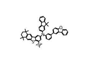 CC1(C)CCC(C)(C)c2cc3c(cc21)sc1c([Si](C)(C)C)cc(N(c2cccc(-c4ccc5oc6ccccc6c5c4)c2)c2ccc4c(c2)C(C)(C)c2ccccc2-4)cc13